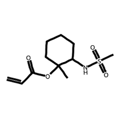 C=CC(=O)OC1(C)CCCCC1NS(C)(=O)=O